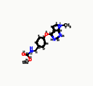 Cn1ccc2c(Oc3ccc(CNC(=O)OC(C)(C)C)cc3)ncnc21